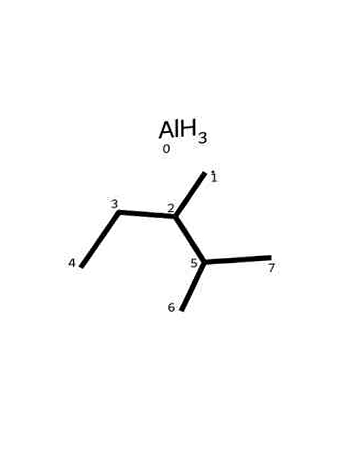 [AlH3].[CH2]C(CC)C(C)C